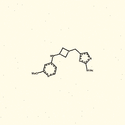 COc1cc(NC2CN(Cc3cnc(NC(C)=O)s3)C2)ccn1